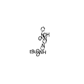 CC(C)(C)OC(=O)NC1CCN(c2ccnc(C(=O)N(O)Cc3ccccc3)c2)CC1